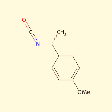 COc1ccc([C@@H](C)N=C=O)cc1